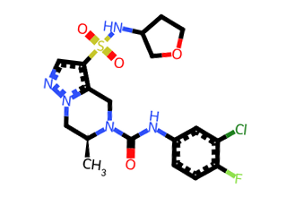 C[C@H]1Cn2ncc(S(=O)(=O)NC3CCOC3)c2CN1C(=O)Nc1ccc(F)c(Cl)c1